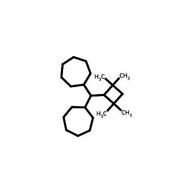 CC1(C)CC(C)(C)[C]1C(C1CCCCCC1)C1CCCCCC1